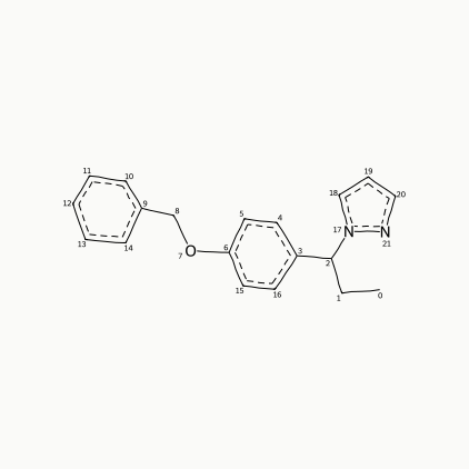 CCC(c1ccc(OCc2ccccc2)cc1)n1cccn1